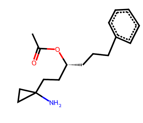 CC(=O)O[C@H](CCCc1ccccc1)CCC1(N)CC1